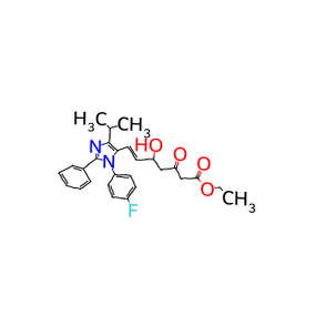 CCOC(=O)CC(=O)CC(O)C=Cc1c(C(C)C)nc(-c2ccccc2)n1-c1ccc(F)cc1